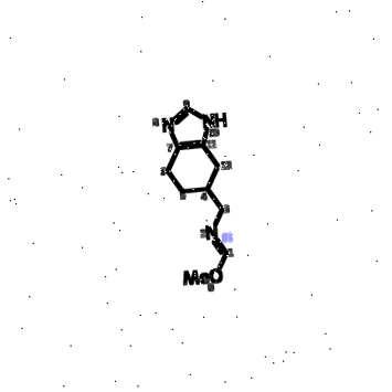 CO/C=N/CC1CCc2nc[nH]c2C1